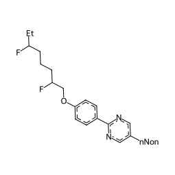 CCCCCCCCCc1cnc(-c2ccc(OCC(F)CCCC(F)CC)cc2)nc1